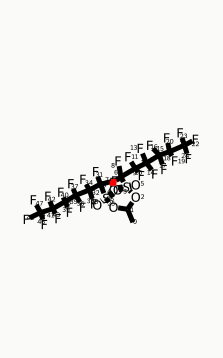 CC(OS(=O)(=O)C(F)(F)C(F)(F)C(F)(F)C(F)(F)C(F)(F)C(F)(F)F)OS(=O)(=O)C(F)(F)C(F)(F)C(F)(F)C(F)(F)C(F)(F)C(F)(F)F